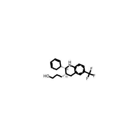 OCCC[C@H]1Cc2cc(C(F)(F)F)ccc2N[C@H]1C1C=CC=CC1